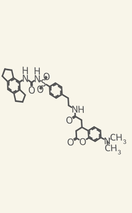 CN(C)c1ccc2c(c1)OC(=O)CC2CC(=O)NCCc1ccc(S(=O)(=O)NC(=O)Nc2c3c(cc4c2CCC4)CCC3)cc1